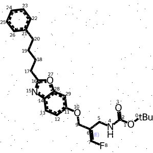 CC(C)(C)OC(=O)NC/C(=C\F)COc1ccc2nc(CCCCc3ccccc3)oc2c1